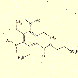 BCc1c(C(=O)OCCS(=O)(=O)O)c(CB)c(N(C)C(C)=O)c(CB)c1N(C)C(C)=O